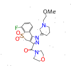 COCCN1CCC[C@H](n2nc(C(=O)N3CCOCC3)c3c2-c2cccc(F)c2S(=O)(=O)C3)C1